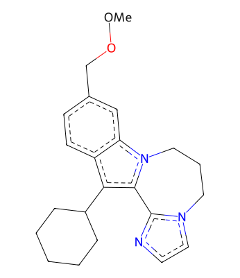 COOCc1ccc2c(C3CCCCC3)c3n(c2c1)CCCn1ccnc1-3